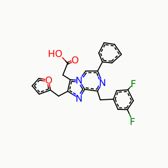 O=C(O)Cc1c(Cc2ccco2)nc2c(Cc3cc(F)cc(F)c3)nc(-c3ccccc3)cn12